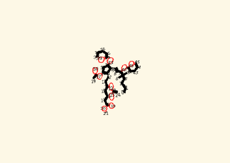 CCCCC(C)(C)C(/C=C/[C@@H]1[C@@H](CCC(CCCC(=O)OC)OC(C)=O)[C@@H](OC(C)=O)C[C@H]1OC1CCCCO1)OC1CCCCO1